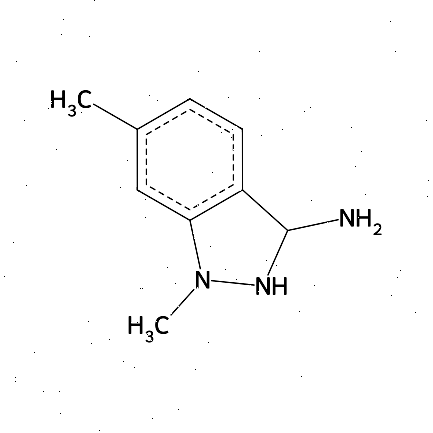 Cc1ccc2c(c1)N(C)NC2N